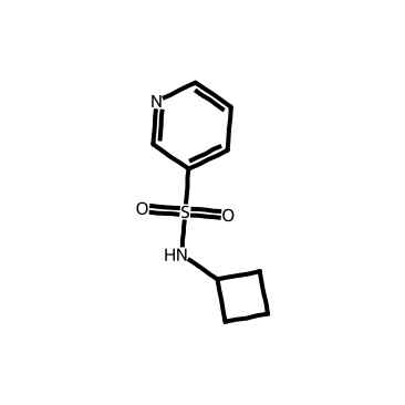 O=S(=O)(NC1CCC1)c1cccnc1